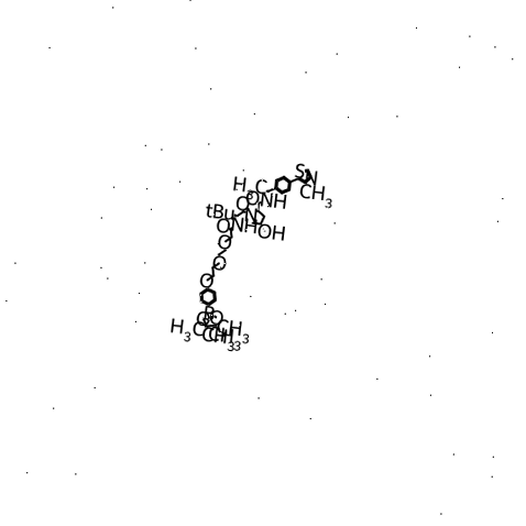 Cc1ncsc1-c1ccc(C(C)NC(=O)[C@H]2C[C@H](O)CN2C(=O)C(NC(=O)COCCOCCOc2ccc(B3OC(C)(C)C(C)(C)O3)cc2)C(C)(C)C)cc1